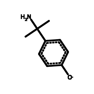 CC(C)(N)c1ccc([O])cc1